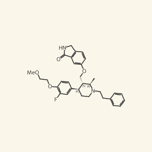 COCCOc1ccc([C@@H]2CCN(CCc3ccccc3)[C@H](C)[C@H]2COc2ccc3c(c2)C(=O)NC3)cc1F